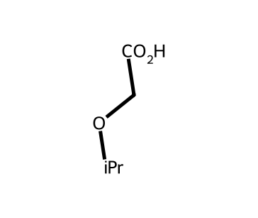 CC(C)OCC(=O)O